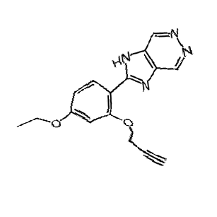 C#CCOc1cc(OCC)ccc1-c1nc2cnncc2[nH]1